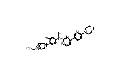 Cc1cc(Nc2nccc(-c3ccc(N4CCOCC4)nc3)n2)ccc1N1CC2CC1CN2CC(C)C